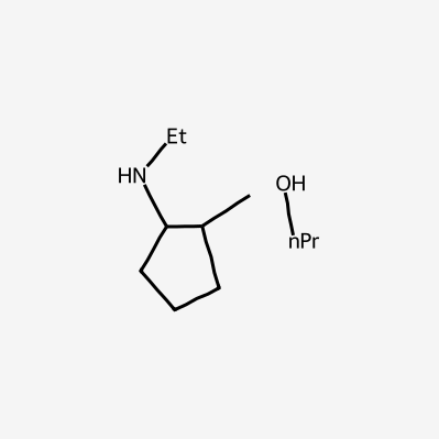 CCCO.CCNC1CCCC1C